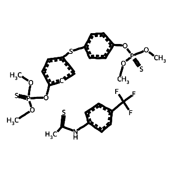 CC(=S)Nc1ccc(C(F)(F)F)cc1.COP(=S)(OC)Oc1ccc(Sc2ccc(OP(=S)(OC)OC)cc2)cc1